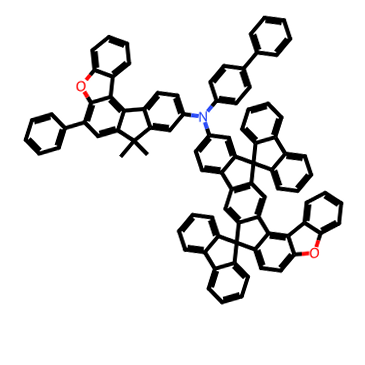 CC1(C)c2cc(N(c3ccc(-c4ccccc4)cc3)c3ccc4c(c3)C3(c5ccccc5-c5ccccc53)c3cc5c(cc3-4)C3(c4ccccc4-c4ccccc43)c3ccc4oc6ccccc6c4c3-5)ccc2-c2c1cc(-c1ccccc1)c1oc3ccccc3c21